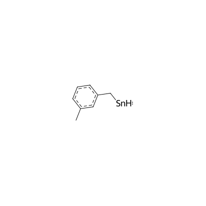 Cc1cccc([CH2][SnH])c1